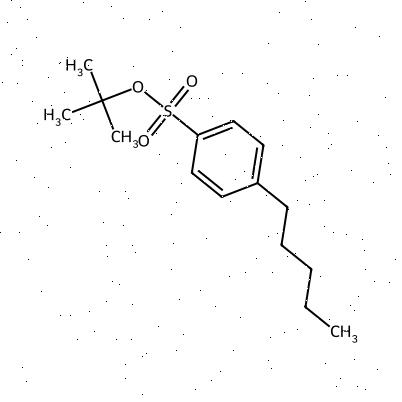 CCCCCc1ccc(S(=O)(=O)OC(C)(C)C)cc1